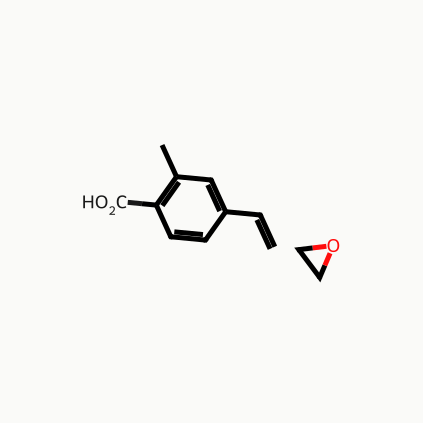 C1CO1.C=Cc1ccc(C(=O)O)c(C)c1